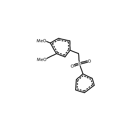 COc1ccc(CS(=O)(=O)c2ccccc2)cc1OC